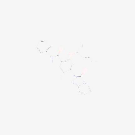 CCCC(C)Oc1cc(-n2nc3ccccn3c2=O)c(F)cc1C(=O)Nc1ccccc1F